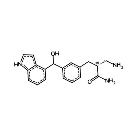 NC[C@@H](Cc1cccc(C(O)c2cccc3[nH]ccc23)c1)C(N)=O